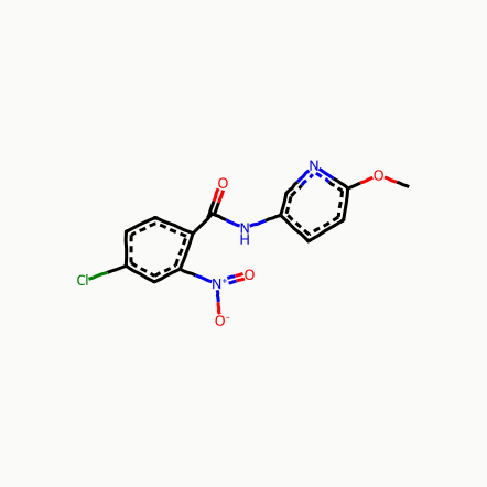 COc1ccc(NC(=O)c2ccc(Cl)cc2[N+](=O)[O-])cn1